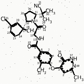 Cc1cc(Oc2ccc(C(=O)NCC(=O)N3[C@H](C4(C)C=C(Cl)C=CC4)CC[C@@H]3C(C)(C)C#N)cc2C)c(=O)[nH]n1